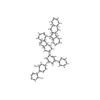 Cc1ccccc1-c1ccc(-c2nc(-c3ccccc3)nc(-c3ccc4c(c3)oc3cccc(-n5c6ccccc6c6cc7ccccc7cc65)c34)n2)cc1C